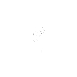 O=C1CN(c2c(O)ccc(-c3cn(C4CCC(F)(F)CC4)cn3)c2F)S(=O)(=O)N1